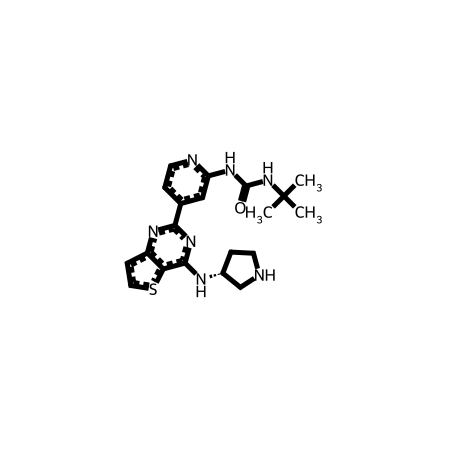 CC(C)(C)NC(=O)Nc1cc(-c2nc(N[C@@H]3CCNC3)c3sccc3n2)ccn1